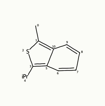 Cc1sc(C(C)C)c2ccccc12